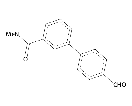 CNC(=O)c1cccc(-c2ccc(C=O)cc2)c1